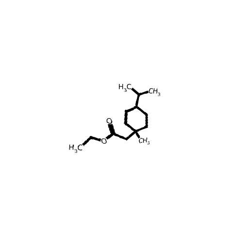 CCOC(=O)CC1(C)CCC(C(C)C)CC1